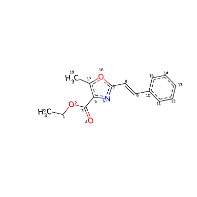 CCOC(=O)c1nc(C=Cc2ccccc2)oc1C